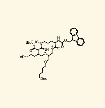 CCCCCCCCCCCCCCOCC(CNC(=O)C(CCCN(C=O)C(=N)NC(=O)OC(C)(C)C)NC(=O)OCC1c2ccccc2-c2ccccc21)OCCCCCCCCCCCCCC